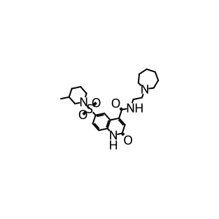 CC1CCCN(S(=O)(=O)c2ccc3[nH]c(=O)cc(C(=O)NCCN4CCCCCC4)c3c2)C1